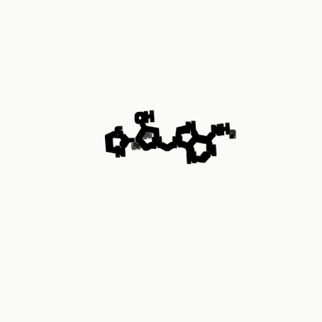 Nc1ncnc2c1ncn2CN1C[C@H](c2nccs2)[C@@H](O)C1